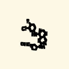 O=CN1CCC(Nc2ncc3ncnc(Nc4ccc(F)c(Cl)c4)c3n2)C1